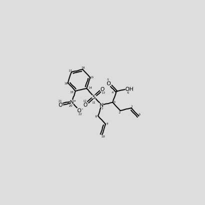 C=CCC(C(=O)O)N(CC=C)S(=O)(=O)c1ccccc1[N+](=O)[O-]